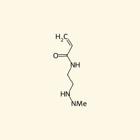 C=CC(=O)NCCNNC